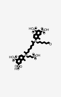 C\C(=C/C=C/C=C/C(C)=[N+](\CCCS(=O)(=O)O)c1ccc2c(S(=O)(=O)O)cc(S(=O)(=O)O)cc2c1C)N(CCCCCC=O)c1ccc2c(S(=O)(=O)O)cc(S(=O)(=O)O)cc2c1C